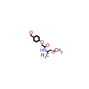 COCC(C)NC(=O)COc1ccc(C=O)cc1